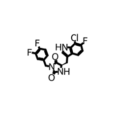 O=C1N[C@H](Cc2c[nH]c3c(Cl)c(F)ccc23)C(=O)N1Cc1ccc(F)c(F)c1